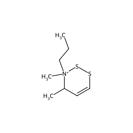 CCC[N+]1(C)SSC=CC1C